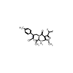 CCC(C)N(C/C(=C(\C)Cl)c1ccc(C)cc1)C(=O)c1c(C(F)F)nn(C)c1F